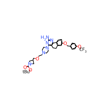 CC(C)(C)OC(=O)N1CC(COCCN2CCN(c3nc(N)nc4c3CCc3cc(OCc5ccc(OC(F)(F)F)cc5)ccc3-4)CC2)C1